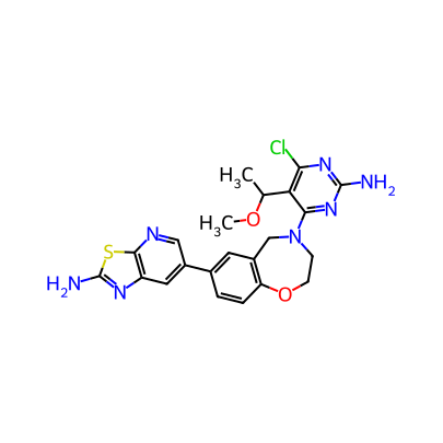 COC(C)c1c(Cl)nc(N)nc1N1CCOc2ccc(-c3cnc4sc(N)nc4c3)cc2C1